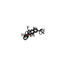 Cc1ncc(-c2cnc3cnc(NC(=O)N4C5CC[C@H]4C[C@@H](NCCF)C5)cc3c2)o1